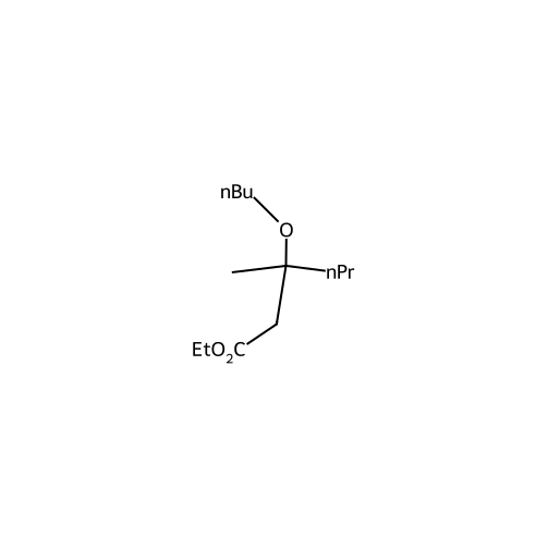 CCCCOC(C)(CCC)CC(=O)OCC